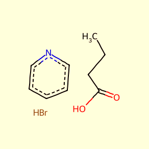 Br.CCCC(=O)O.c1ccncc1